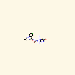 CC(C)CN1CC(c2nc(-c3nc4ncc(CO)cc4[nH]3)co2)c2cc(Cl)ccc21